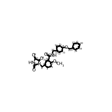 COc1ccc(CN2C(=O)NC(=O)C2=O)cc1C(=O)NCc1ccc(OCc2ccccc2)cc1